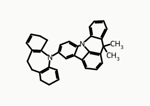 CC1(C)c2ccccc2-n2c3ccc(N4C5=C(CCC=C5)CCC5=C4CCC=C5)cc3c3cccc1c32